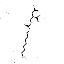 CCCCCCCCOC(=O)OCC(CC(=O)O)C(=O)O